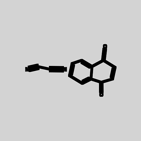 N#CC#N.O=C1C=CC(=O)c2ccccc21